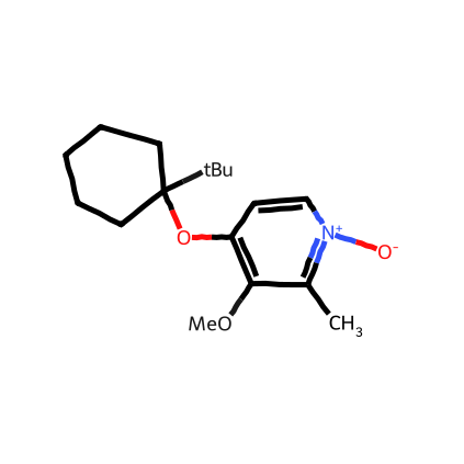 COc1c(OC2(C(C)(C)C)CCCCC2)cc[n+]([O-])c1C